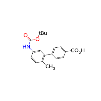 Cc1ccc(NC(=O)OC(C)(C)C)cc1-c1ccc(C(=O)O)cc1